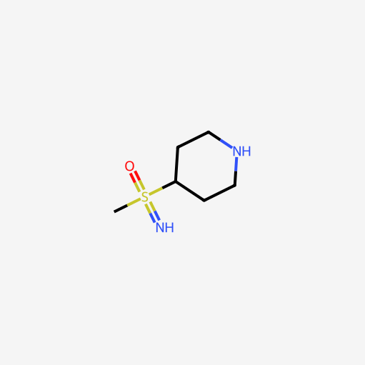 CS(=N)(=O)C1CCNCC1